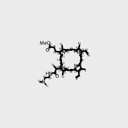 C=CC1=C(C)c2cc3[nH]c(cc4nc(cc5[nH]c(cc1n2)c(C)c5C(C)C(=O)NCCN(C)C)C(CCC(=O)OC)=C4C)c(C)c3C=C